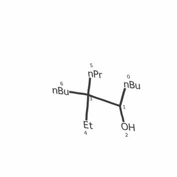 CCCCC(O)C(CC)(CCC)CCCC